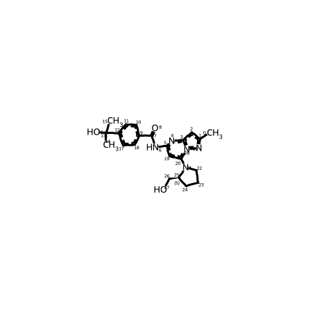 Cc1cc2nc(NC(=O)c3ccc(C(C)(C)O)cc3)cc(N3CCC[C@H]3CO)n2n1